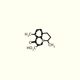 Cc1ccc2c3c1c(=O)c(C(=O)O)cn3C(C)CC2